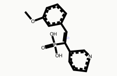 COc1cccc(/C=C(/c2cccnc2)P(=O)(O)O)c1